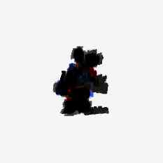 COc1ccc(C(OC[C@@]23CN(C)[C@@H]([C@H](n4cnc5c(OC(=O)N(c6ccccc6)c6ccccc6)nc(NC(=O)C(C)C)nc54)O2)[C@@H]3O)(c2ccccc2)c2ccc(OC)cc2)cc1